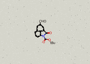 CC(C)(C)OC(=O)N1C(=O)c2cc(C=O)cc3cccc1c23